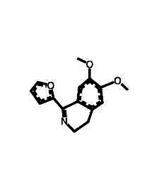 COc1cc2c(cc1OC)C(c1ccco1)=NCC2